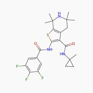 CC1(C)Cc2c(sc(NC(=O)c3cc(F)c(F)c(F)c3)c2C(=O)NC2(C)CC2)C(C)(C)N1